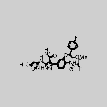 COCC(Oc1cc(-c2n[nH]c(Nc3cc(C)on3)c2C(N)=O)ccc1N[S+]([O-])C(F)F)c1ccc(F)cc1